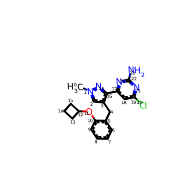 Cn1cc(Cc2ccccc2OC2CCC2)c(-c2cc(Cl)nc(N)n2)n1